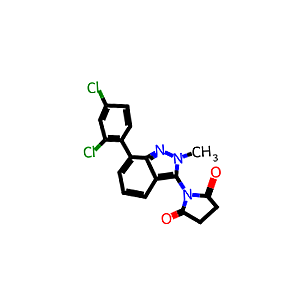 Cn1nc2c(-c3ccc(Cl)cc3Cl)cccc2c1N1C(=O)CCC1=O